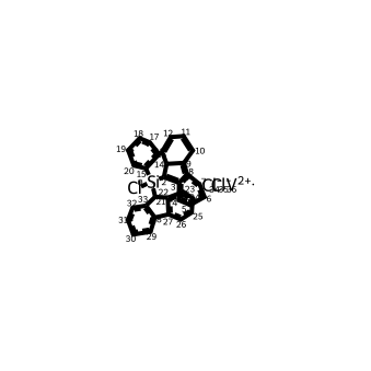 Cl[Si](C1=c2ccccc2=C2C=CC=CC21)(c1ccccc1)C1c2ccccc2-c2ccccc21.[Cl-].[Cl-].[V+2]